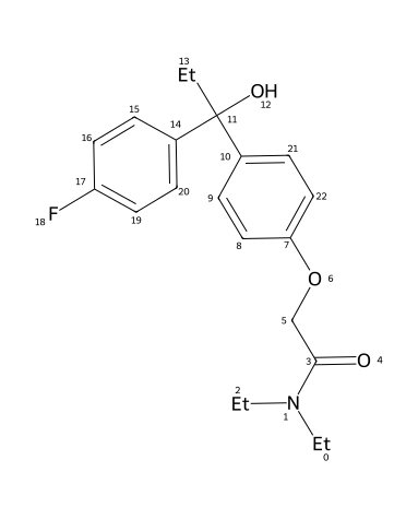 CCN(CC)C(=O)COc1ccc(C(O)(CC)c2ccc(F)cc2)cc1